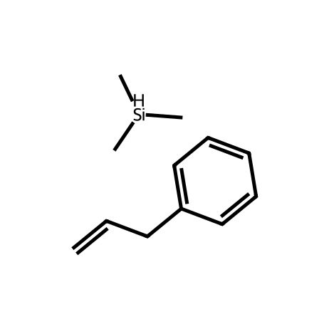 C=CCc1ccccc1.C[SiH](C)C